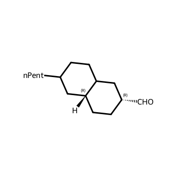 CCCCCC1CCC2C[C@H](C=O)CC[C@@H]2C1